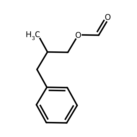 CC(COC=O)Cc1ccccc1